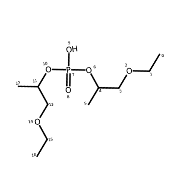 CCOCC(C)OP(=O)(O)OC(C)COCC